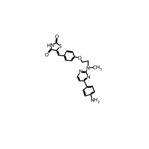 CN(CCOc1ccc(/C=C2\SC(=O)NC2=O)cc1)c1nccc(-c2ccc(N)cc2)n1